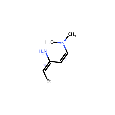 CC/C=C(N)\C=C/N(C)C